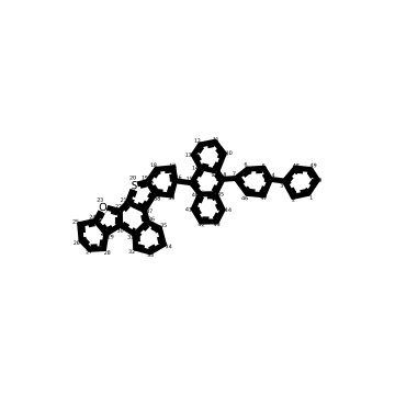 c1ccc(-c2ccc(-c3c4ccccc4c(-c4ccc5sc6c7oc8ccccc8c7c7ccccc7c6c5c4)c4ccccc34)cc2)cc1